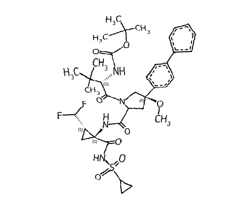 CO[C@@]1(c2ccc(-c3ccccc3)cc2)CC(C(=O)N[C@@]2(C(=O)NS(=O)(=O)C3CC3)C[C@@H]2C(F)F)N(C(=O)[C@@H](NC(=O)OC(C)(C)C)C(C)(C)C)C1